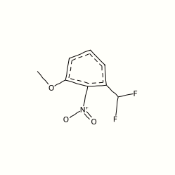 COc1cccc(C(F)F)c1[N+](=O)[O-]